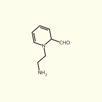 NCCN1C=CC=CC1C=O